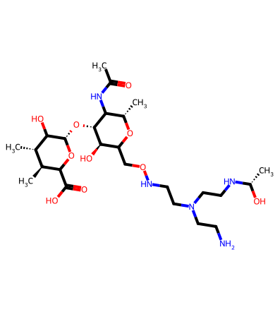 CC(=O)NC1[C@H](C)OC(CONCCN(CCN)CCN[C@H](C)O)[C@@H](O)[C@@H]1O[C@@H]1OC(C(=O)O)[C@@H](C)[C@H](C)C1O